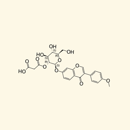 COc1ccc(-c2coc3cc(O[C@@H]4O[C@H](CO)[C@@H](O)[C@H](O)[C@H]4OC(=O)CC(=O)O)ccc3c2=O)cc1